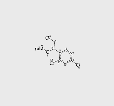 CCCCOC(CCl)c1ccc(Cl)cc1Cl